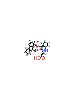 C[C@H](CC(=O)O)NC(=O)[C@H](C1CCCCC1)N(C)C(=O)OCC1c2ccccc2-c2ccccc21